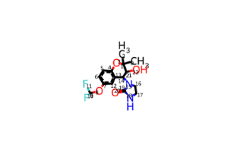 CC1(C)Oc2ccc(OC(F)F)cc2C(N2CCNC2=O)C1O